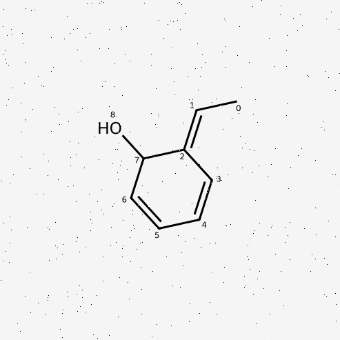 CC=C1C=CC=CC1O